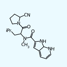 CC(C)CC(C(=O)N1CCCC1C#N)N(C)C(=O)C1=CC2=CC=CNC2N1